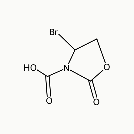 O=C(O)N1C(=O)OCC1Br